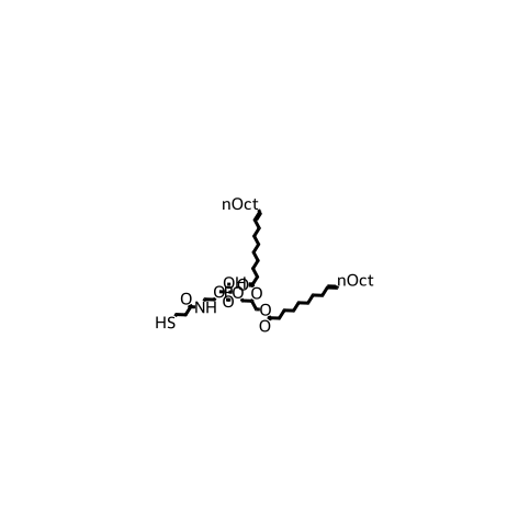 CCCCCCCCC=CCCCCCCCC(=O)OCC(COP(=O)(O)OCCNC(=O)CCS)OC(=O)CCCCCCCC=CCCCCCCCC